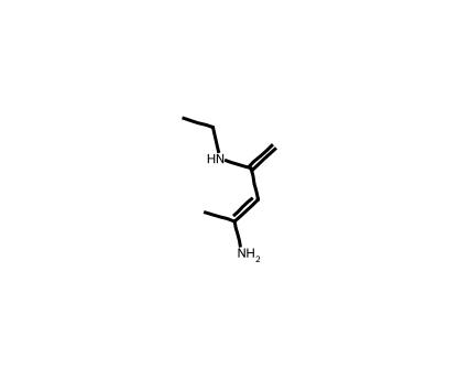 C=C(/C=C(\C)N)NCC